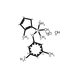 CC1=[C]([Ti]([CH3])([CH3])([SiH3])[O]c2cc(C)cc(C)c2)CC=C1.Cl.Cl